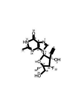 C#C[C@]1(O)[C@H](n2cnc3c(=O)[nH]c(C)nc32)O[C@](F)(CO)[C@H]1F